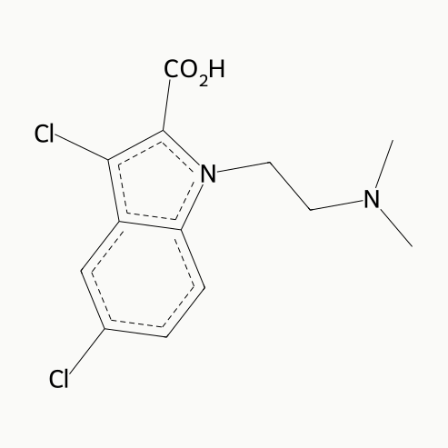 CN(C)CCn1c(C(=O)O)c(Cl)c2cc(Cl)ccc21